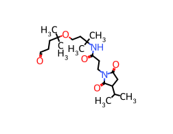 CC(C)C1CC(=O)N(CCC(=O)NC(C)(C)CCOC(C)(C)CCC=O)C1=O